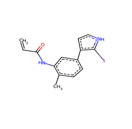 C=CC(=O)Nc1cc(-c2cc[nH]c2I)ccc1C